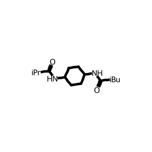 CCC(C)C(=O)NC1CCC(NC(=O)C(C)C)CC1